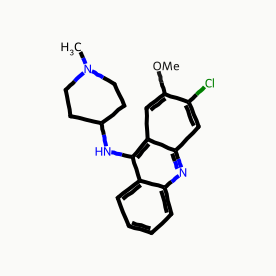 COc1cc2c(NC3CCN(C)CC3)c3ccccc3nc2cc1Cl